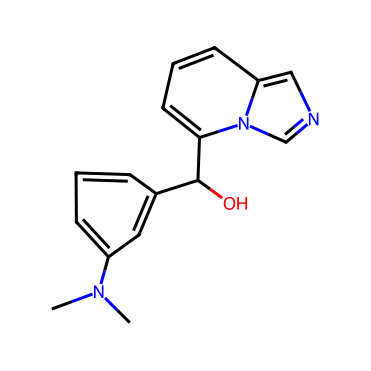 CN(C)c1cccc(C(O)c2cccc3cncn23)c1